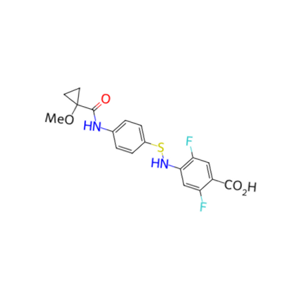 COC1(C(=O)Nc2ccc(SNc3cc(F)c(C(=O)O)cc3F)cc2)CC1